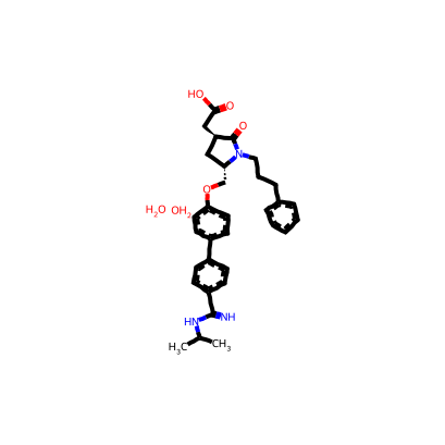 CC(C)NC(=N)c1ccc(-c2ccc(OC[C@@H]3C[C@@H](CC(=O)O)C(=O)N3CCCc3ccccc3)cc2)cc1.O.O